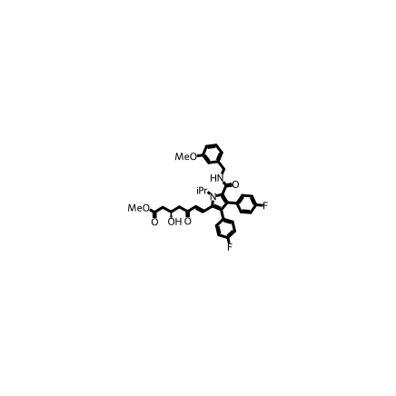 COC(=O)C[C@H](O)CC(=O)/C=C/c1c(-c2ccc(F)cc2)c(-c2ccc(F)cc2)c(C(=O)NCc2cccc(OC)c2)n1C(C)C